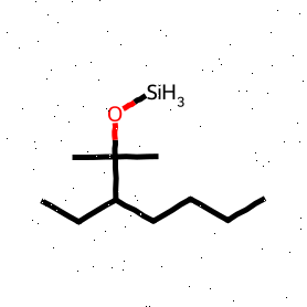 CCCCC(CC)C(C)(C)O[SiH3]